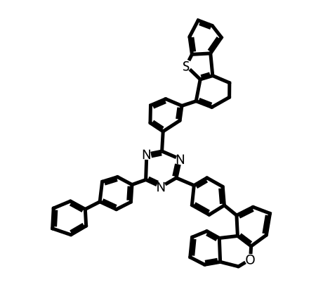 C1=C(c2cccc(-c3nc(-c4ccc(-c5ccccc5)cc4)nc(-c4ccc(-c5cccc6c5-c5ccccc5CO6)cc4)n3)c2)c2sc3ccccc3c2CC1